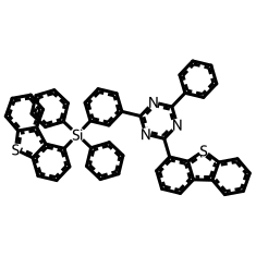 c1ccc(-c2nc(-c3cccc([Si](c4ccccc4)(c4ccccc4)c4cccc5sc6ccccc6c45)c3)nc(-c3cccc4c3sc3ccccc34)n2)cc1